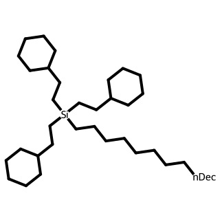 CCCCCCCCCCCCCCCCCC[Si](CCC1CCCCC1)(CCC1CCCCC1)CCC1CCCCC1